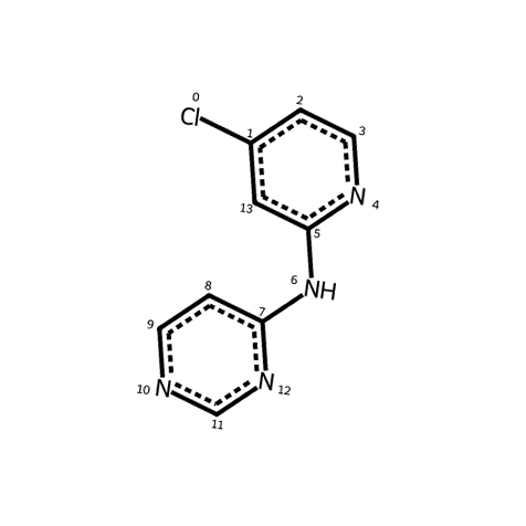 Clc1ccnc(Nc2ccncn2)c1